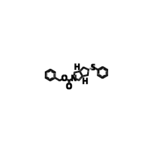 O=C(OCc1ccccc1)N1C[C@H]2C[C@H](Sc3ccccc3)C[C@H]2C1